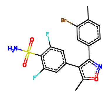 Cc1ccc(-c2noc(C)c2-c2cc(F)c(S(N)(=O)=O)c(F)c2)cc1Br